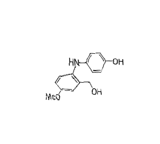 COc1ccc(Nc2ccc(O)cc2)c(CO)c1